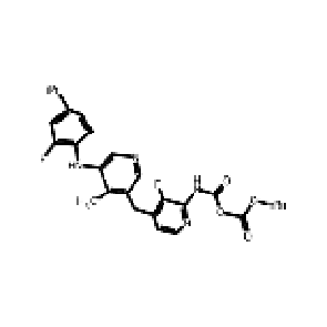 CCCCOC(=O)OC(=O)Nc1nccc(Cc2cncc(Nc3ccc(C(C)C)cc3F)c2C)c1F